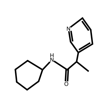 CC(C(=O)NC1CCCCC1)c1cccnc1